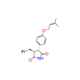 CC(C)=CCOc1ccc([C@@H]2C(=O)NC(=O)[C@H]2CC(C)C)cc1